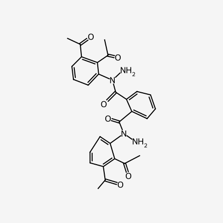 CC(=O)c1cccc(N(N)C(=O)c2ccccc2C(=O)N(N)c2cccc(C(C)=O)c2C(C)=O)c1C(C)=O